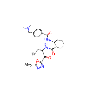 CSc1nnc(C(=O)C(CC(C)C)NC(=O)[C@@H]2CCCC[C@@H]2NC(=O)c2ccc(CN(C)C)cc2)o1